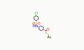 CC(=O)SCC(=O)c1ccc(NS(=O)(=O)c2ccc(Cl)cc2)cc1